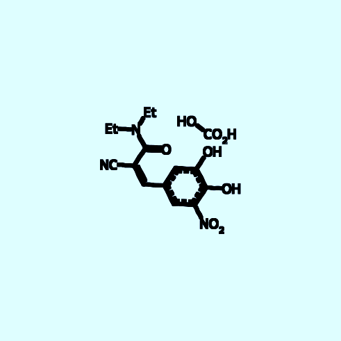 CCN(CC)C(=O)C(C#N)=Cc1cc(O)c(O)c([N+](=O)[O-])c1.O=C(O)O